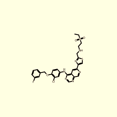 CCS(=O)(=O)CCNCc1nc(-c2cc3c(Nc4ccc(OCc5cccc(F)c5)c(Cl)c4)ncnc3cn2)cs1